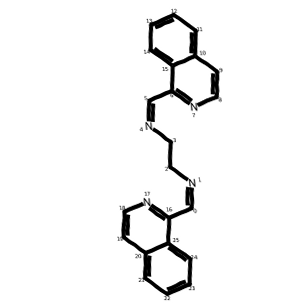 C(=N/CC/N=C\c1nccc2ccccc12)/c1nccc2ccccc12